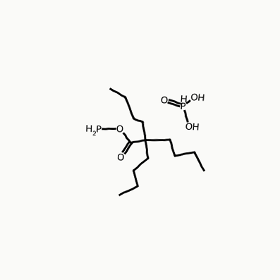 CCCCC(CCCC)(CCCC)C(=O)OP.O=[PH](O)O